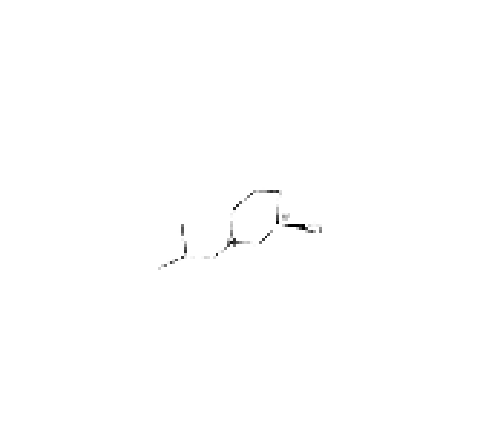 C[C](C)CN1CCC[C@@H](O)C1